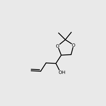 C=CCC(O)C1COC(C)(C)O1